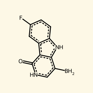 Bc1c[nH]c(=O)c2c1[nH]c1ccc(F)cc12